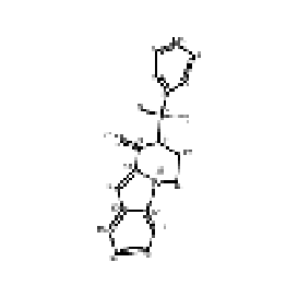 CC(C)(c1ccncc1)C1CCn2c(cc3ccccc32)C1=O